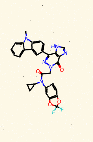 Cn1c2ccccc2c2cc(-c3nn(CC(=O)N(c4ccc5c(c4)OC(F)(F)O5)C4CC4)c(=O)c4nc[nH]c34)ccc21